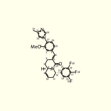 COc1cc(C=C2CC[C@@H]3C=CC[C@@H](c4cc(F)c(F)c(F)c4)N3C2=O)ccc1-n1cnc(C)c1